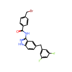 O=C(Nc1n[nH]c2ccc(Cc3cc(F)cc(F)c3)cc12)c1ccc(CBr)cc1